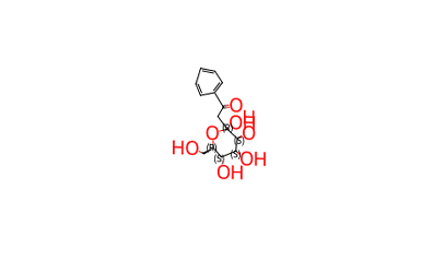 O=C(C[C@@]1(O)O[C@H](CO)[C@@H](O)[C@H](O)[C@@H]1O)c1ccccc1